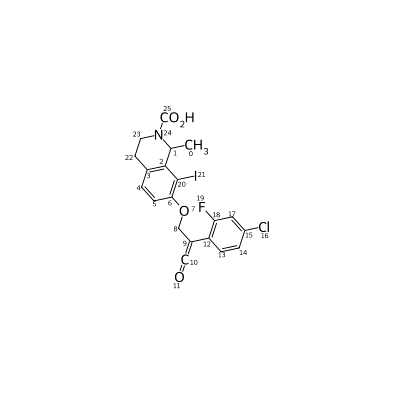 CC1c2c(ccc(OCC(=C=O)c3ccc(Cl)cc3F)c2I)CCN1C(=O)O